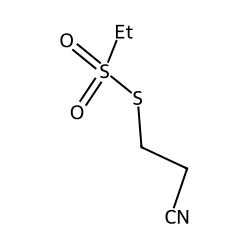 CCS(=O)(=O)SCCC#N